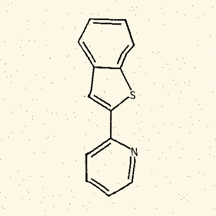 [c]1c(-c2ccccn2)sc2ccccc12